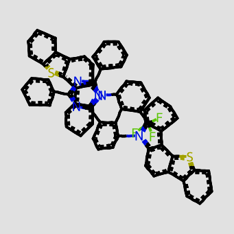 FC(F)(F)c1cccc(-n2c3ccccc3c3c4sc5ccccc5c4ccc32)c1-c1c(-c2nc(-c3ccccc3)nc(-c3ccccc3)n2)cccc1-n1c2ccccc2c2c3sc4ccccc4c3ccc21